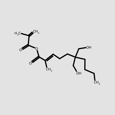 C=C(C)C(=O)OC(=O)C(C)=CCCC(CO)(CO)CCCC